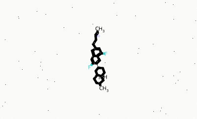 C/C=C/CCc1cc(F)c2cc([C@@H]3CC[C@@H]4CC(C)CCC4C3)c(F)cc2c1